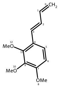 C=CC=Cc1ccc(OC)c(OC)c1OC